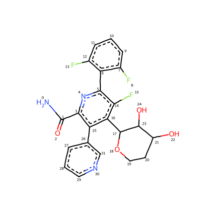 NC(=O)c1nc(-c2c(F)cccc2F)c(F)c(C2OCCC(O)C2O)c1-c1cccnc1